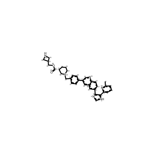 Cc1cccc(-c2[nH]cnc2-c2ccc3ncc(-c4ccc(CN5CCC[C@@H](C(=O)OCC6CNC6)C5)cc4)cc3c2)n1